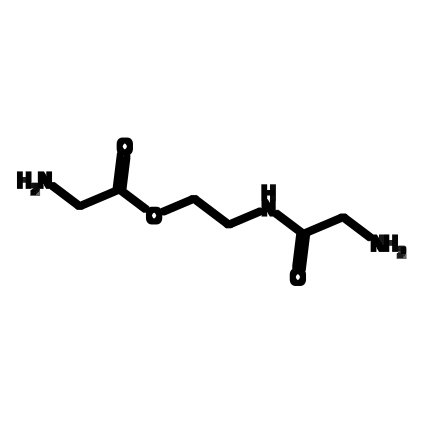 NCC(=O)NCCOC(=O)CN